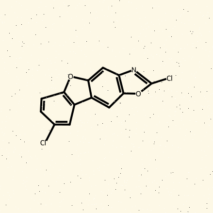 Clc1ccc2oc3cc4nc(Cl)oc4cc3c2c1